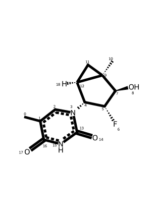 Cc1cn([C@H]2[C@@H](F)[C@H](O)[C@]3(C)C[C@H]23)c(=O)[nH]c1=O